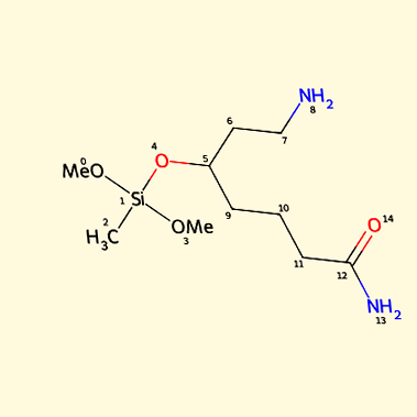 CO[Si](C)(OC)OC(CCN)CCCC(N)=O